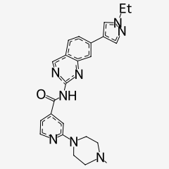 CCn1cc(-c2ccc3cnc(NC(=O)c4ccnc(N5CCN(C)CC5)c4)nc3c2)cn1